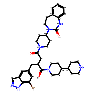 O=C(CC(Cc1cc(Br)c2[nH]ncc2c1)C(=O)N1CCC(C2CCNCC2)CC1)N1CCC(N2CCc3ccccc3NC2=O)CC1